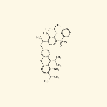 CC(C)B1c2ccc(CC(C)c3ccc4c(c3N)B(C(C)C)c3ccccc3S4(=O)=O)cc2Sc2ccc(C(C)C)c(N)c21